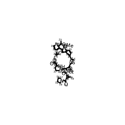 CCO[C@@H]1c2nc(cs2)-c2ccc3c(c2)c(c(-c2cccnc2[C@H](C)OC)n3CC)CC(C)(C)COC(=O)[C@@H]2CCCN(N2)C(=O)C1NC(=O)[C@@H]1[C@@H](C)[C@H]1C(=O)N1CCCC1